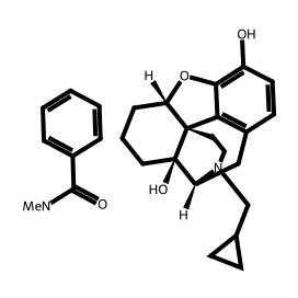 CNC(=O)c1ccccc1.Oc1ccc2c3c1O[C@H]1CCC[C@@]4(O)[C@@H](C2)N(CC2CC2)CC[C@]314